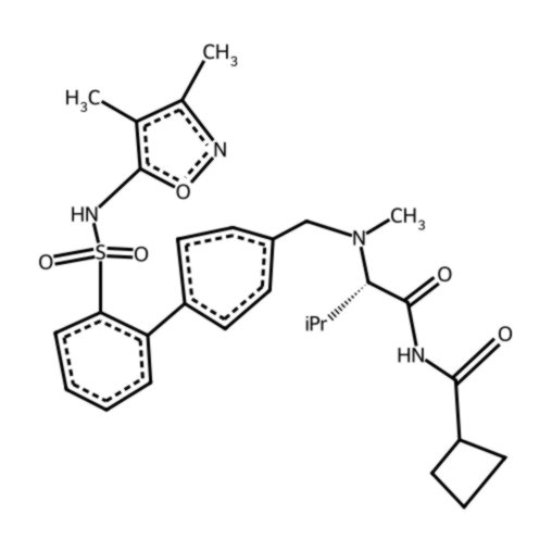 Cc1noc(NS(=O)(=O)c2ccccc2-c2ccc(CN(C)[C@H](C(=O)NC(=O)C3CCC3)C(C)C)cc2)c1C